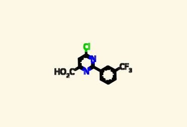 O=C(O)c1cc(Cl)nc(-c2cccc(C(F)(F)F)c2)n1